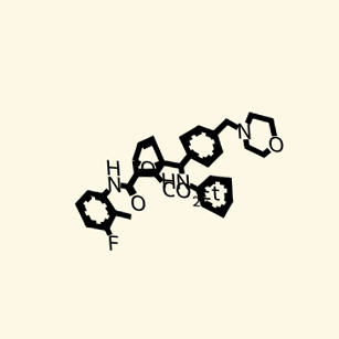 CCOC(=O)C1=C(C(=O)Nc2cccc(F)c2C)C2C=CC1(C(Nc1ccccc1)c1ccc(CN3CCOCC3)cc1)O2